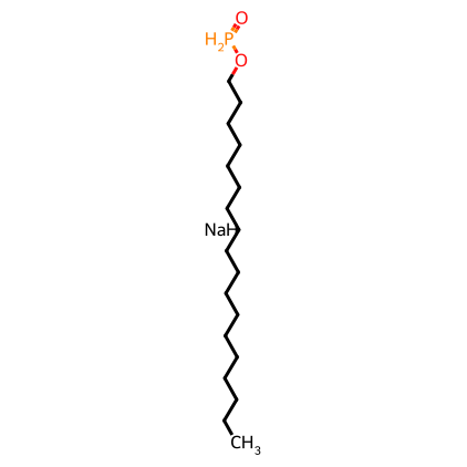 CCCCCCCCCCCCCCCCCCO[PH2]=O.[NaH]